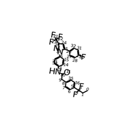 CCC(F)(F)c1ccc(CC(=O)Nc2ccc(-n3nc(C(F)(F)F)cc3-c3ccc(F)cc3)cc2)cc1